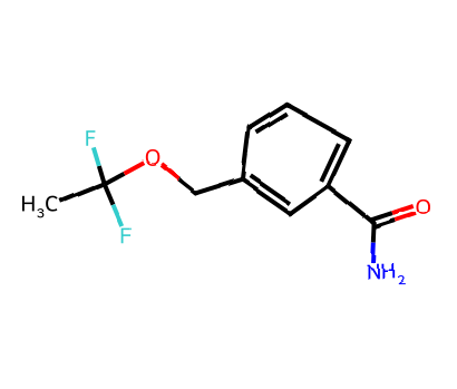 CC(F)(F)OCc1cccc(C(N)=O)c1